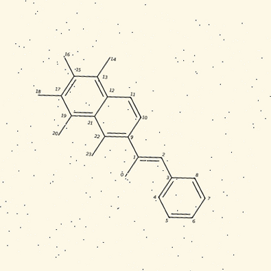 CC(=Cc1ccccc1)c1ccc2c(C)c(C)c(C)c(C)c2c1C